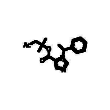 CC(=O)CC(C)(C)OC(=O)c1cncn1C(C)c1ccccc1